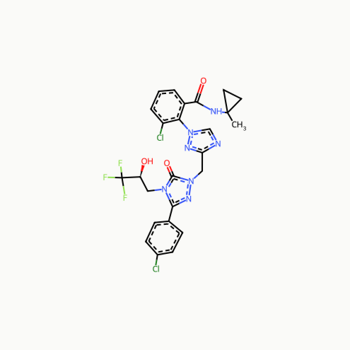 CC1(NC(=O)c2cccc(Cl)c2-n2cnc(Cn3nc(-c4ccc(Cl)cc4)n(C[C@H](O)C(F)(F)F)c3=O)n2)CC1